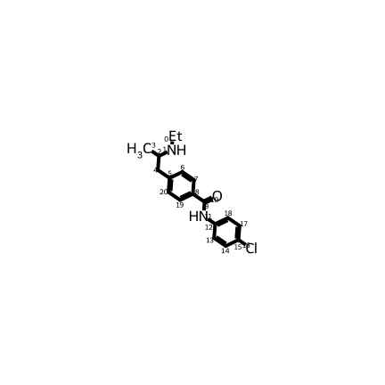 CCNC(C)Cc1ccc(C(=O)Nc2ccc(Cl)cc2)cc1